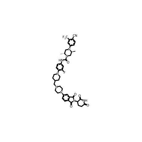 C[C@@H]1CN(c2ccc(C#N)c(C(F)(F)F)c2)[C@@H](C)CN1C(=O)Nc1ccc(N2CCC(CN3CCN(c4ccc5c(c4)C(=O)N(C4CCC(=O)NC4=O)C5=O)CC3)CC2)c(F)c1